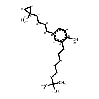 CC(C)(C)CCCCCCc1cc(CCCCC2(C)CC2)ccc1O